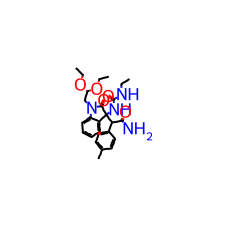 CCNC(=O)NC1(C(C(N)=O)c2ccc(C)cc2)C(=O)N(CC(OCC)OCC)c2ccccc21